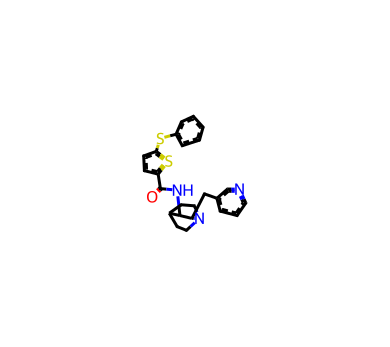 O=C(NC1C2CCN(CC2)C1Cc1cccnc1)c1ccc(Sc2ccccc2)s1